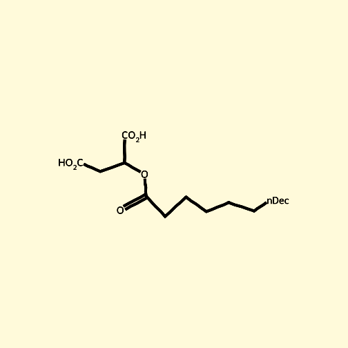 CCCCCCCCCCCCCCCC(=O)OC(CC(=O)O)C(=O)O